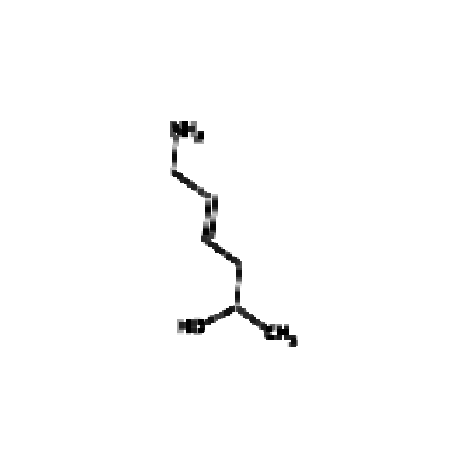 CC(O)CC=CCN